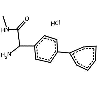 CNC(=O)C(N)c1ccc(-c2ccccc2)cc1.Cl